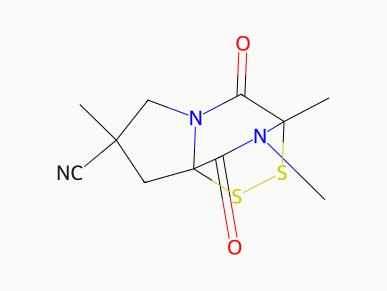 CN1C(=O)C23CC(C)(C#N)CN2C(=O)C1(C)SS3